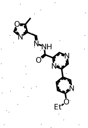 CCOc1ccc(-c2cncc(C(=O)N/N=C/c3ncoc3C)n2)cn1